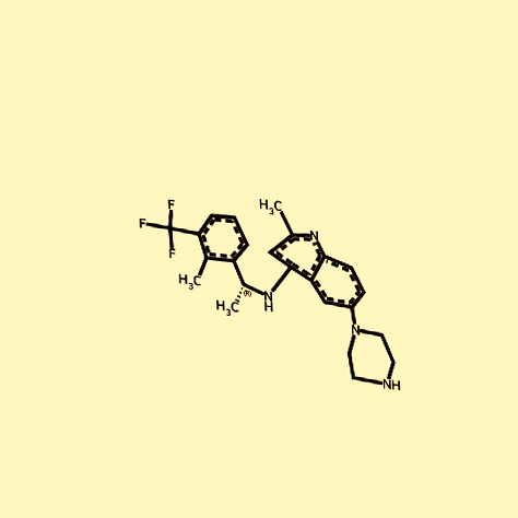 Cc1cc(N[C@H](C)c2cccc(C(F)(F)F)c2C)c2cc(N3CCNCC3)ccc2n1